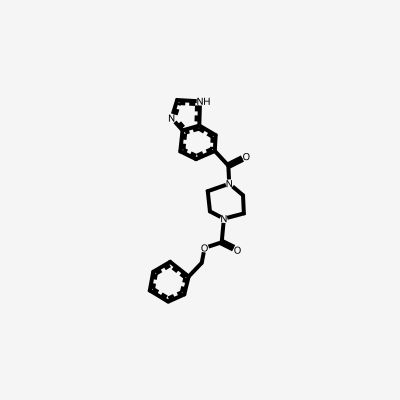 O=C(OCc1ccccc1)N1CCN(C(=O)c2ccc3nc[nH]c3c2)CC1